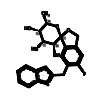 C[C@H]1O[C@]2(OCc3cc(F)c(Cc4cc5ccccc5s4)cc32)[C@H](O)[C@@H](O)[C@@H]1O